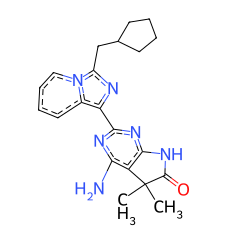 CC1(C)C(=O)Nc2nc(-c3nc(CC4CCCC4)n4ccccc34)nc(N)c21